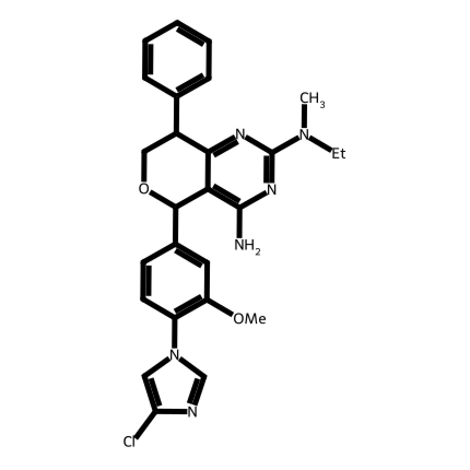 CCN(C)c1nc(N)c2c(n1)C(c1ccccc1)COC2c1ccc(-n2cnc(Cl)c2)c(OC)c1